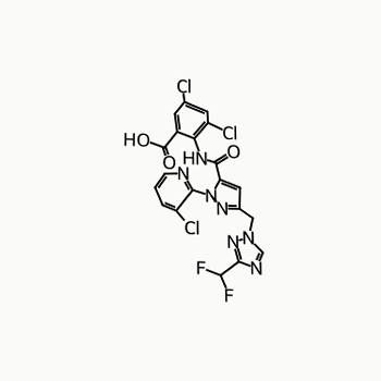 O=C(O)c1cc(Cl)cc(Cl)c1NC(=O)c1cc(Cn2cnc(C(F)F)n2)nn1-c1ncccc1Cl